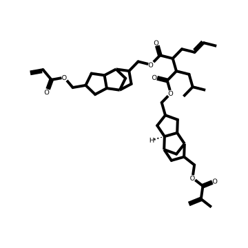 C=CC(=O)OCC1CC2C3CC(COC(=O)C(C/C=C/C)C(CC(C)C)C(=O)OCC4CC5C6CC(CC6COC(=O)C(=C)C)[C@H]5C4)C(C3)C2C1